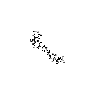 C/C=C(\C=C/COCC1CCN([C@@H](O)OC(C)(C)C)CC1)C1=CCCC(C(=O)N2CCCCC2)CC1